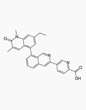 CCc1cc(-c2cccc3cc(-c4ccc(C(=O)O)nc4)ncc23)c2cc(C)c(=O)n(C)c2c1